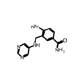 CCCc1ccc(C(N)=O)cc1CNc1cncnc1